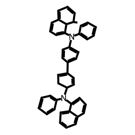 CC1C=CC=C2C=CC=C(N(c3ccccc3)c3ccc(C4=CCC(N(c5ccccc5)c5cccc6ccccc56)C=C4)cc3)C21